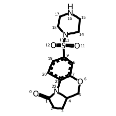 O=C1CCC2COc3cc(S(=O)(=O)N4CCNCC4)ccc3N12